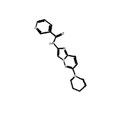 O=C(Nc1cn2nc(N3CCCCC3)ccc2n1)c1cccnc1